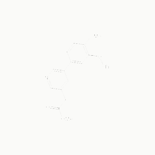 CCCOc1cc(-c2cncc(CC(=O)OC)c2)ccc1OC